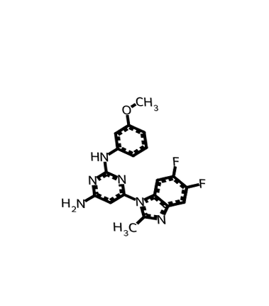 COc1cccc(Nc2nc(N)cc(-n3c(C)nc4cc(F)c(F)cc43)n2)c1